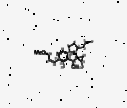 C=CCC1CCCN1C1(C(O)c2ccnc(/C=C\COC)c2C)CC1C